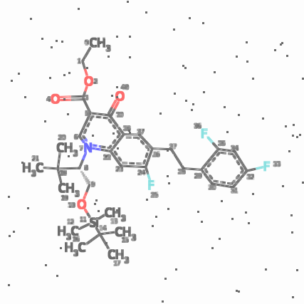 CCOC(=O)c1cn([C@H](CO[Si](C)(C)C(C)(C)C)C(C)(C)C)c2cc(F)c(CCc3ccc(F)cc3F)cc2c1=O